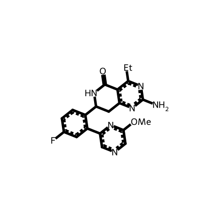 CCc1nc(N)nc2c1C(=O)NC(c1ccc(F)cc1-c1cncc(OC)n1)C2